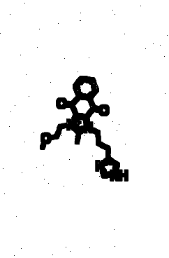 COCC[n+]1c2c(n(CCCc3c[nH]cn3)c1C)C(=O)c1ccccc1C2=O